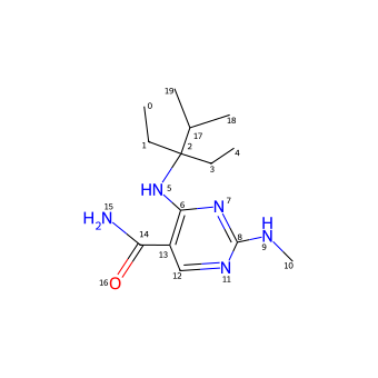 CCC(CC)(Nc1nc(NC)ncc1C(N)=O)C(C)C